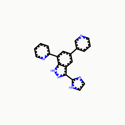 c1ccc(-c2cc(-c3cccnc3)cc3c(-c4ncc[nH]4)n[nH]c23)nc1